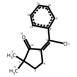 CC1(C)CCC(=C(Cl)c2ccccc2)C1=O